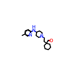 Cc1ccc(NC2CCN(CCC3(C=O)CCCCC3)CC2)nc1